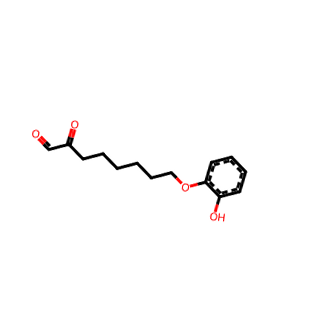 O=CC(=O)CCCCCCOc1ccccc1O